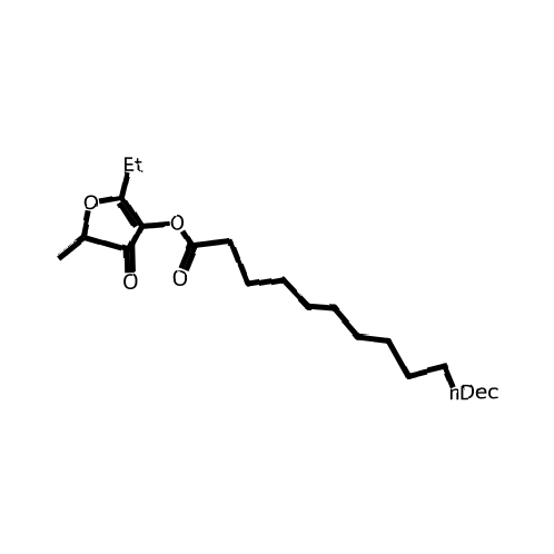 CCCCCCCCCCCCCCCCCCCC(=O)OC1=C(CC)OC(C)C1=O